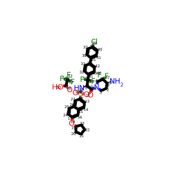 N[C@@H]1CCN(C(=O)[C@@H](NS(=O)(=O)c2ccc3cc(OC4CCCC4)ccc3c2)C(F)(F)c2ccc(-c3ccc(Cl)cc3)cc2)CC1(F)F.O=C(O)C(F)(F)F